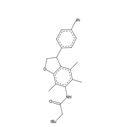 Cc1c(C)c2c(c(C)c1NC(=O)CC(C)(C)C)OCC2c1ccc(C(C)C)cc1